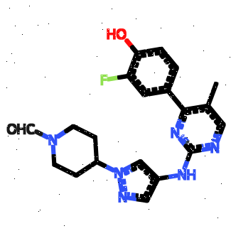 Cc1cnc(Nc2cnn(C3CCN(C=O)CC3)c2)nc1-c1ccc(O)c(F)c1